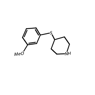 COc1cccc(SC2CCNCC2)c1